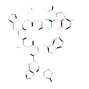 CCNC(=O)[C@@H]1CCCN1C(=O)[C@H](Cc1ccc(O)cc1)NC(=O)[C@H](CC(C)C)NC(=O)[C@@H](COC(C)(C)C)NC(=O)[C@H](Cc1c[nH]cn1)NC(=O)[C@H](CO)NC(=O)[C@H](Cc1c[nH]c2ccccc12)NC(=O)[C@H](Cc1c[nH]cn1)NC(=O)[C@@H]1CCC(=O)N1